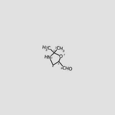 CC1(C)NCC(C=O)O1